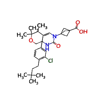 CC1C2=CN(C34CC(C(=O)O)(C3)C4)C(=O)NC2(c2ccc(CCC(C)(C)C)c(Cl)c2)COC1(C)C